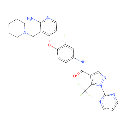 Nc1nccc(Oc2ccc(NC(=O)c3cnn(-c4ncccn4)c3C(F)(F)F)cc2F)c1CN1CCCCC1